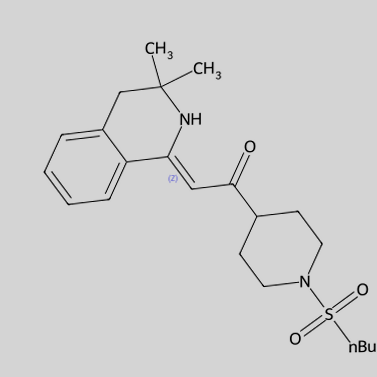 CCCCS(=O)(=O)N1CCC(C(=O)/C=C2\NC(C)(C)Cc3ccccc32)CC1